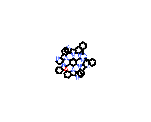 c1ccc(-c2nc(-c3ccccc3)nc(-c3c(-n4c5ccccc5c5ncccc54)c(-n4c5ccccc5c5ncccc54)c(-c4nc5ccccc5o4)c(-n4c5ccccc5c5ncccc54)c3-n3c4ccccc4c4ncccc43)n2)cc1